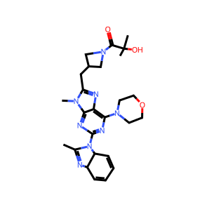 CC1=NC2C=CC=CC2N1c1nc(N2CCOCC2)c2nc(CC3CN(C(=O)C(C)(C)O)C3)n(C)c2n1